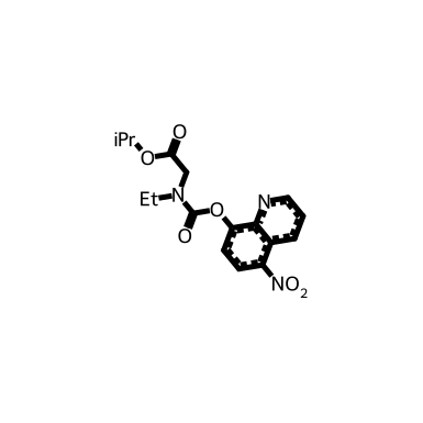 CCN(CC(=O)OC(C)C)C(=O)Oc1ccc([N+](=O)[O-])c2cccnc12